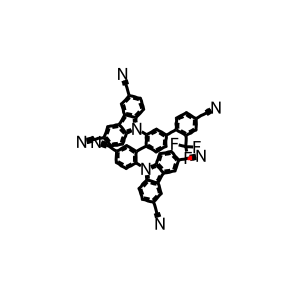 N#Cc1ccc(-n2c3ccc(C#N)cc3c3cc(C#N)ccc32)c(-c2ccc(-c3ccc(C#N)cc3C(F)(F)F)cc2-n2c3ccc(C#N)cc3c3cc(C#N)ccc32)c1